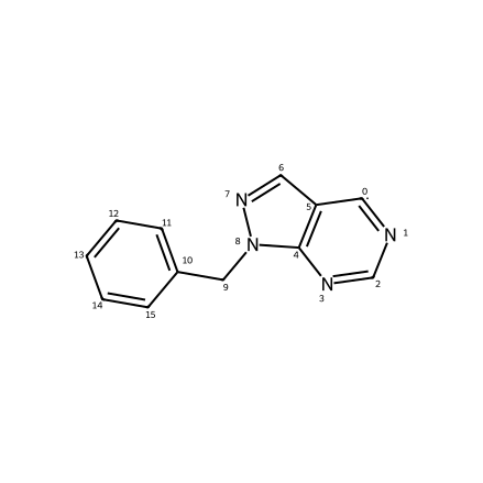 [c]1ncnc2c1cnn2Cc1ccccc1